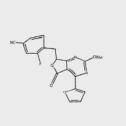 COc1nc(-c2ccco2)c2c(n1)C(Cc1ccc(C#N)cc1F)OC2=O